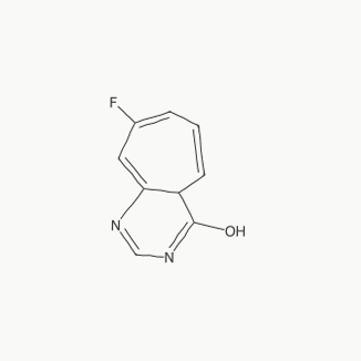 OC1=NC=NC2=CC(F)=CC=CC21